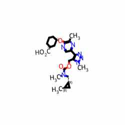 Cc1nc(-c2nnn(C)c2COC(=O)N(C)C[C@@H]2C[C@H]2C)cnc1O[C@H]1CCC[C@H](C(=O)O)C1